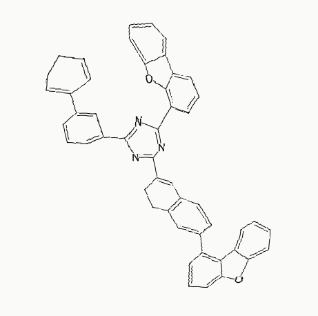 C1=CC(c2cccc(-c3nc(C4=Cc5ccc(-c6cccc7oc8ccccc8c67)cc5CC4)nc(-c4cccc5c4oc4ccccc45)n3)c2)=CCC1